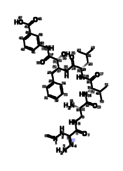 C=NN/C(=N\N)C(=O)NC[C@H](N)C(=O)N[C@H](C(=O)N[C@@H](CC(C)C)C(=O)N[C@@H](Cc1ccccc1)[C@@H](O)C(=O)Nc1cccc(C(=O)O)c1)C(C)C